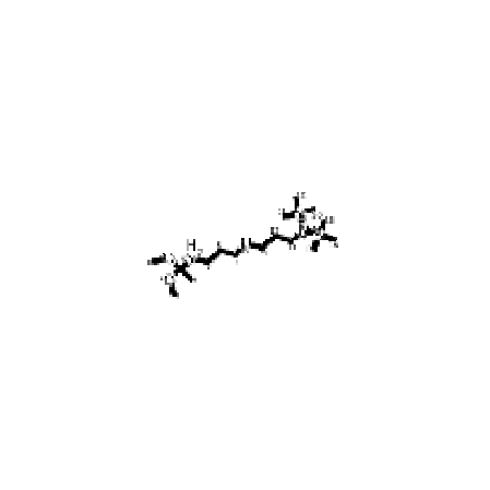 COC(C)(OC)[SiH2]CCCOCCCN([Si](C)(C)C)[Si](C)(C)C